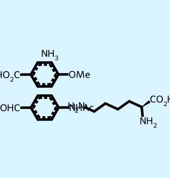 CC(=O)Nc1ccc(C=O)cc1.COc1ccc(C(=O)O)cc1.N.NCCCC[C@H](N)C(=O)O